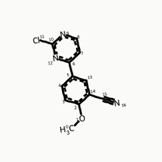 COc1ccc(-c2ccnc(Cl)n2)cc1C#N